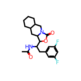 CC(=O)NC(Cc1cc(F)cc(F)c1)C1OC(=O)N2CC3CCCCC3CC12